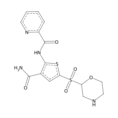 NC(=O)c1cc(S(=O)(=O)C2CNCCO2)sc1NC(=O)c1ccccn1